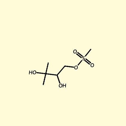 CC(C)(O)C(O)COS(C)(=O)=O